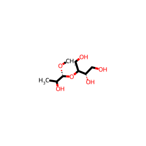 CO[C@H](OC(CO)[C@@H](O)CO)C(C)O